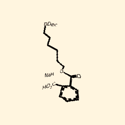 CCCCCCCCCCCCCCCCOC(=O)c1ccccc1C(=O)O.[NaH]